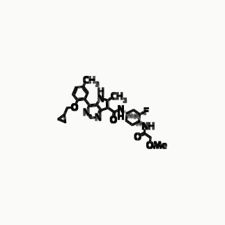 COCC(=O)N[C@@H]1CC[C@H](NC(=O)c2c(C)[nH]c3c(-c4cc(C)ccc4OCC4CC4)ncnc23)C[C@H]1F